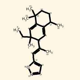 CCC1(C)C=C2C(=CC1/C(C)=C/c1ccno1)C(C)CCC2(C)C